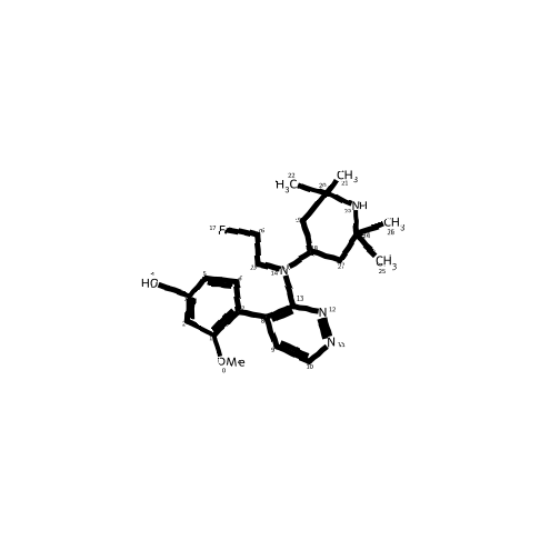 COc1cc(O)ccc1-c1ccnnc1N(CCF)C1CC(C)(C)NC(C)(C)C1